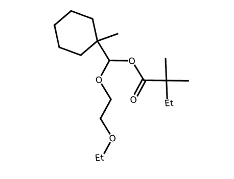 CCOCCOC(OC(=O)C(C)(C)CC)C1(C)CCCCC1